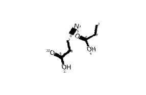 C#N.CCC(=O)O.CCC(=O)O